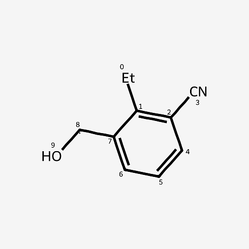 CCc1c(C#N)cccc1[CH]O